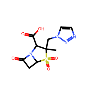 CC1(Cn2ccnn2)C(C(=O)O)N2C(=O)CC2S1(=O)=O